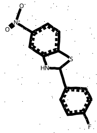 O=[N+]([O-])c1ccc2c(c1)NC(c1ccc(F)cc1)S2